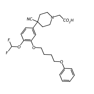 N#CC1(c2ccc(OC(F)F)c(OCCCCOc3ccccc3)c2)CCN(CC(=O)O)CC1